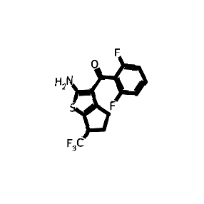 Nc1sc2c(c1C(=O)c1c(F)cccc1F)CCC2C(F)(F)F